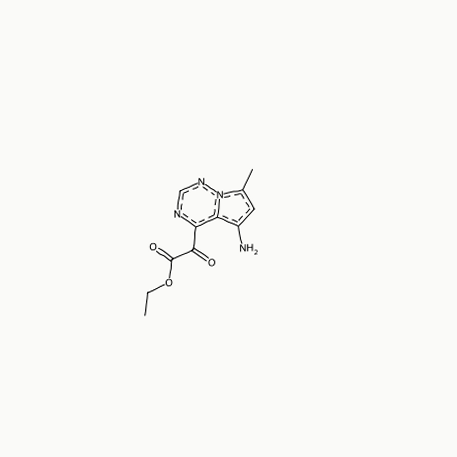 CCOC(=O)C(=O)c1ncnn2c(C)cc(N)c12